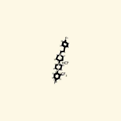 Cl.Fc1ccc(CCN2CCC(N3CCN(c4ccc(F)cc4C(F)(F)F)CC3)CC2)cc1